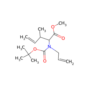 C=CCN(C(=O)OC(C)(C)C)C(C(=O)OC)C(C)C=C